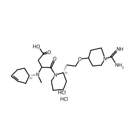 CN(C(CC(=O)O)C(=O)N1CCCC[C@H]1CCOC1CCN(C(=N)N)CC1)[C@@H]1CC=CCC1.Cl.Cl